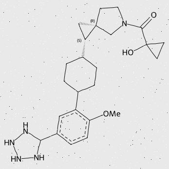 COc1ccc(C2NNNN2)cc1C1CCC([C@@H]2C[C@@]23CCN(C(=O)C2(O)CC2)C3)CC1